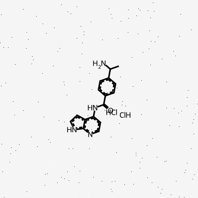 CC(N)c1ccc(C(=O)Nc2ccnc3[nH]ccc23)cc1.Cl.Cl